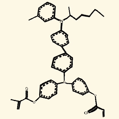 C=CC(=O)Oc1ccc(N(c2ccc(OC(=O)C(=C)C)cc2)c2ccc(-c3ccc(N(c4cccc(C)c4)C(C)CCCCC)cc3)cc2)cc1